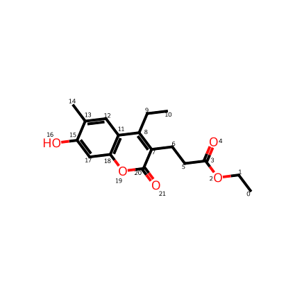 CCOC(=O)CCc1c(CC)c2cc(C)c(O)cc2oc1=O